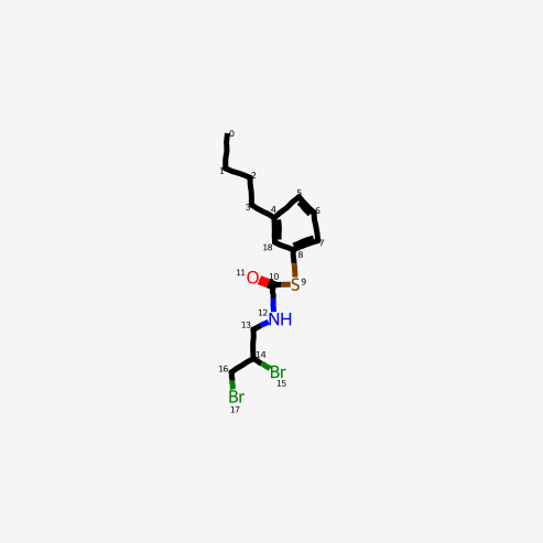 CCCCc1cccc(SC(=O)NCC(Br)CBr)c1